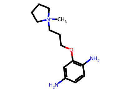 C[N+]1(CCCOc2cc(N)ccc2N)CCCC1